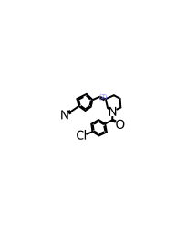 N#Cc1ccc(/C=C2/CCCN(C(=O)c3ccc(Cl)cc3)C2)cc1